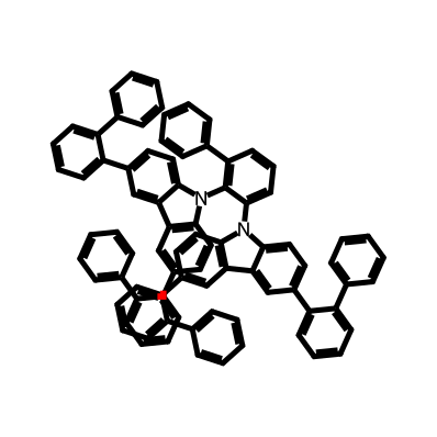 c1ccc(-c2ccccc2-c2ccc3c(c2)c2cc(-c4ccccc4-c4ccccc4)ccc2n3-c2cccc(-c3ccccc3)c2-n2c3ccc(-c4ccccc4-c4ccccc4)cc3c3cc(-c4ccccc4-c4ccccc4)ccc32)cc1